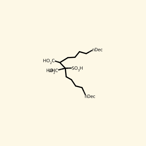 CCCCCCCCCCCCCCC(C(=O)O)C(CCCCCCCCCCCCCC)(C(=O)O)S(=O)(=O)O.[LiH]